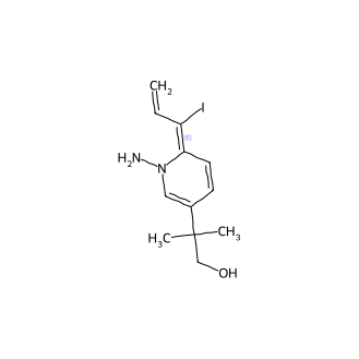 C=C/C(I)=C1/C=CC(C(C)(C)CO)=CN1N